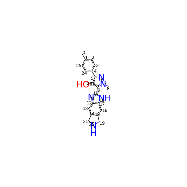 Cc1ccc(-c2nn(C)c(-c3nc4cc5c(cc4[nH]3)CNC5)c2O)cc1